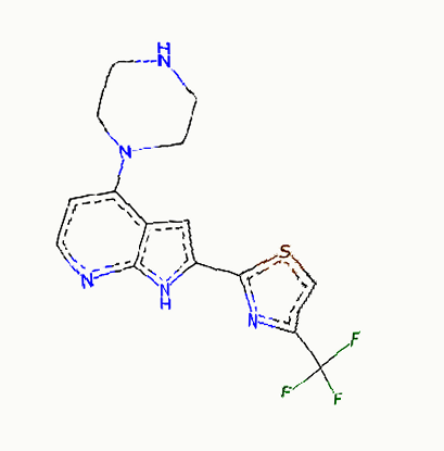 FC(F)(F)c1csc(-c2cc3c(N4CCNCC4)ccnc3[nH]2)n1